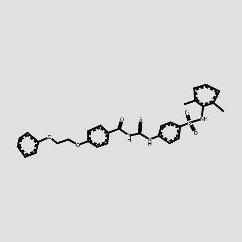 Cc1cccc(C)c1NS(=O)(=O)c1ccc(NC(=S)NC(=O)c2ccc(OCCOc3ccccc3)cc2)cc1